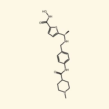 C[C@@H](NCc1ccc(NC(=O)C2CCN(C)CC2)cc1)c1ccc(C(=O)NO)s1